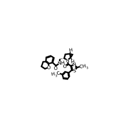 Cc1cccc(-c2sc(C)nc2C(=O)N2[C@H](CNC(=O)c3cccc4c3OCCC4)C[C@@H]3C[C@@H]32)c1